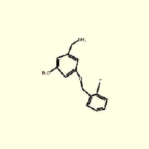 CC(C)COc1cc(CN)cc(OCc2ccccc2F)c1